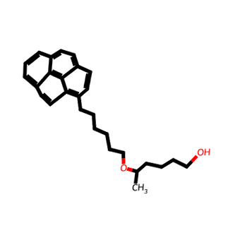 CC(CCCCO)OCCCCCCc1ccc2ccc3cccc4ccc1c2c34